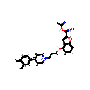 CC(=N)OC(=N)c1cc2c(OCCCN3CCC(c4ccc(C)c(C)c4)CC3)cccc2o1